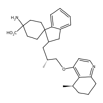 C[C@@H](COc1ccnc2c1[C@H](C)CCC2)CC1Cc2ccccc2C12CCC(N)(C(=O)O)CC2